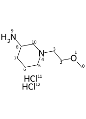 COCCN1CCCC(N)C1.Cl.Cl